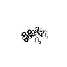 CC(C)C[C@@H](CN)N(C)C(=O)[C@H](C)CC(=O)OC(c1ccccc1)(c1ccccc1)c1ccccc1Cl